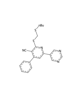 CCCCSCSc1nc(-c2cncnc2)cc(-c2ccccc2)c1C#N